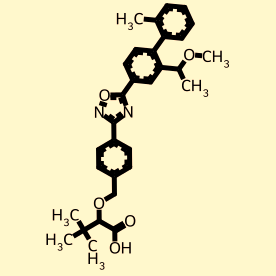 COC(C)c1cc(-c2nc(-c3ccc(COC(C(=O)O)C(C)(C)C)cc3)no2)ccc1-c1ccccc1C